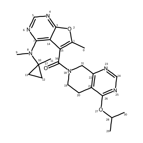 Cc1oc2ncnc(N(C)C3(C)CC3)c2c1C(=O)N1CCc2c(ncnc2OC(C)C)C1